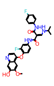 COc1cc2c(Oc3ccc(NC(=O)/C(=C/NC(C)C)C(=O)Nc4ccc(F)cc4)cc3F)ccnc2cc1O